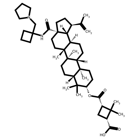 C=C(C)[C@@H]1CC[C@]2(C(=O)NC3(CN4CCCC4)CCC3)CC[C@]3(C)[C@H](CC[C@@H]4[C@@]5(C)CC[C@H](OC(=O)[C@H]6C[C@@H](C(=O)O)C6(C)C)C(C)(C)[C@@H]5CC[C@]43C)[C@@H]12